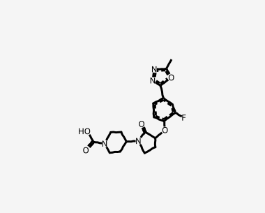 Cc1nnc(-c2ccc(OC3CCN(C4CCN(C(=O)O)CC4)C3=O)c(F)c2)o1